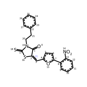 O=C1/C(=C\c2ccc(-c3ccccc3[N+](=O)[O-])o2)SC(=S)N1CCc1ccccc1